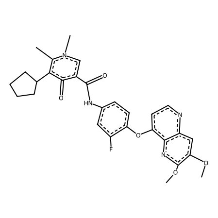 COc1cc2nccc(Oc3ccc(NC(=O)c4cn(C)c(C)c(C5CCCC5)c4=O)cc3F)c2nc1OC